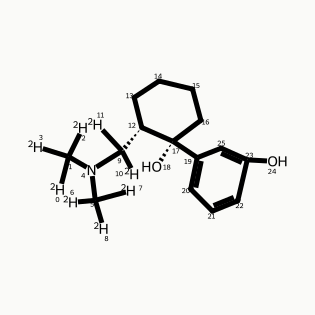 [2H]C([2H])([2H])N(C([2H])([2H])[2H])C([2H])([2H])[C@@H]1CCCC[C@@]1(O)c1cccc(O)c1